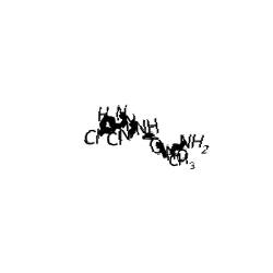 CN(CCOCCNc1cnc(-c2cccc(Cl)c2Cl)c(N)n1)CC(N)=O